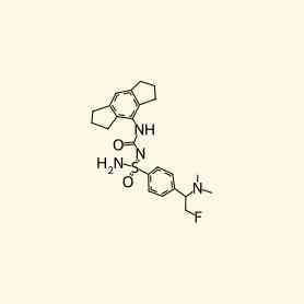 CN(C)C(CF)c1ccc(S(N)(=O)=NC(=O)Nc2c3c(cc4c2CCC4)CCC3)cc1